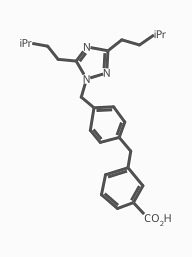 CC(C)CCc1nc(CCC(C)C)n(Cc2ccc(Cc3cccc(C(=O)O)c3)cc2)n1